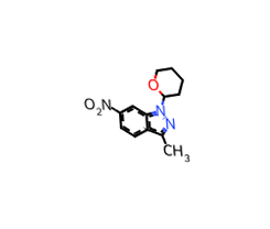 Cc1nn(C2CCCCO2)c2cc([N+](=O)[O-])ccc12